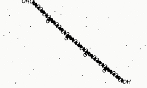 O=CCCCCOCOCCOCCOC(=O)CCCCOCOCCOCCOC(=O)CCCCOCOCCOCCOC(=O)CCCCOCOCCOCCOC(=O)CCCCOCOCCOCCO